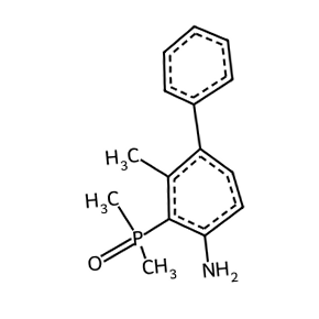 Cc1c(-c2ccccc2)ccc(N)c1P(C)(C)=O